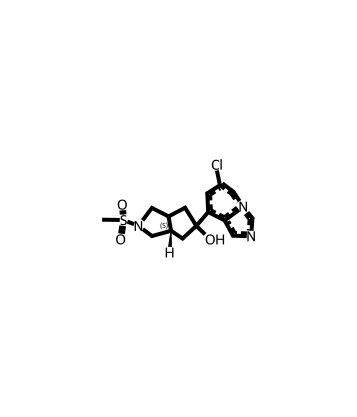 CS(=O)(=O)N1CC2CC(O)(c3cc(Cl)cn4cncc34)C[C@@H]2C1